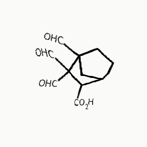 O=CC12CCC(C1)C(C(=O)O)C2(C=O)C=O